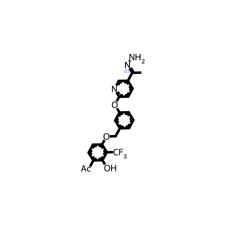 CC(=O)c1ccc(OCc2cccc(Oc3ccc(/C(C)=N/N)cn3)c2)c(C(F)(F)F)c1O